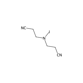 N#CCCN(I)CCC#N